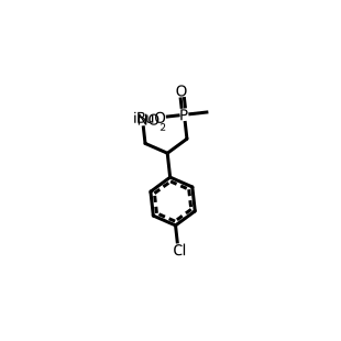 CC(C)COP(C)(=O)CC(C[N+](=O)[O-])c1ccc(Cl)cc1